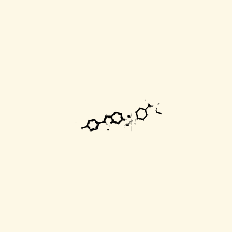 CCN(C)C(=O)C1CCC(NS(=O)(=O)c2ccc3cc(-c4ccc(CO)cc4)n(C)c3c2)CC1